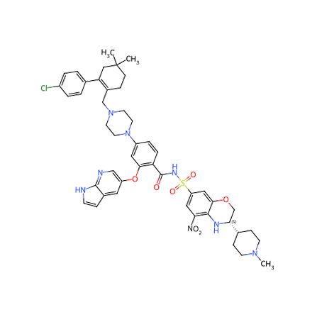 CN1CCC([C@H]2COc3cc(S(=O)(=O)NC(=O)c4ccc(N5CCN(CC6=C(c7ccc(Cl)cc7)CC(C)(C)CC6)CC5)cc4Oc4cnc5[nH]ccc5c4)cc([N+](=O)[O-])c3N2)CC1